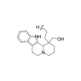 CCCC1(CO)CCCN2CCc3c([nH]c4ccccc34)C21